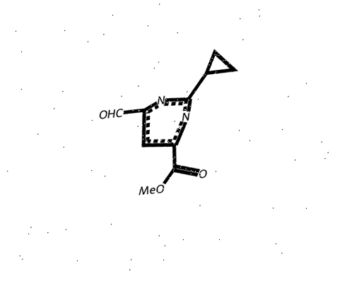 COC(=O)c1cc(C=O)nc(C2CC2)n1